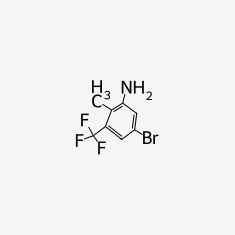 Cc1c(N)cc(Br)cc1C(F)(F)F